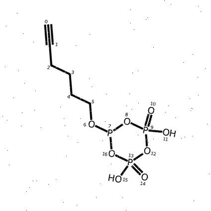 C#CCCCCOP1OP(=O)(O)OP(=O)(O)O1